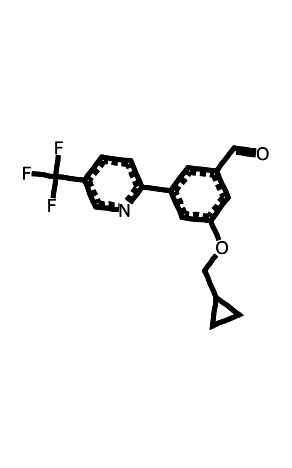 O=Cc1cc(OCC2CC2)cc(-c2ccc(C(F)(F)F)cn2)c1